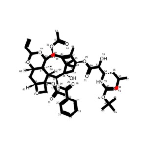 C=CC1O[C@H]2C[C@H]3OC[C@@]3(OC(C)=O)[C@H]3[C@H](OC(=O)c4ccccc4)[C@]4(O)C[C@H](OC(=O)C(O)[C@H](CC(C)C)NC(=O)OC(C)(C)C)C(C)=C([C@H](OC(C)=O)[C@H](O1)[C@]23C)C4(C)C